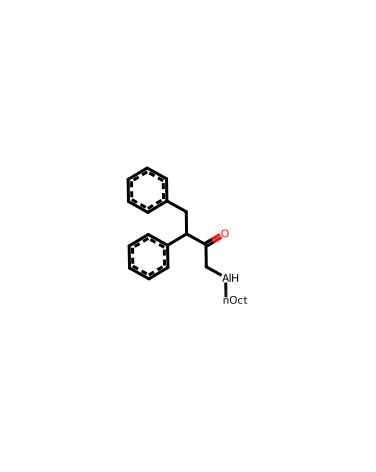 CCCCCCC[CH2][AlH][CH2]C(=O)C(Cc1ccccc1)c1ccccc1